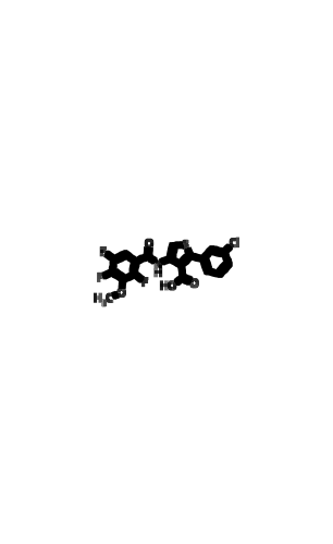 COc1c(F)c(F)cc(C(=O)Nc2csc(-c3cccc(Cl)c3)c2C(=O)O)c1F